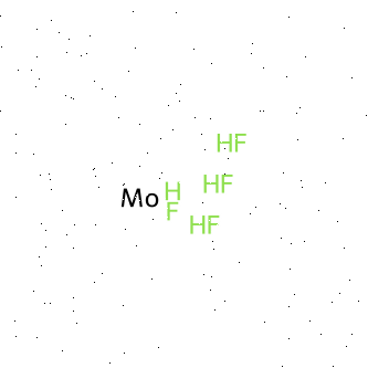 F.F.F.F.[Mo]